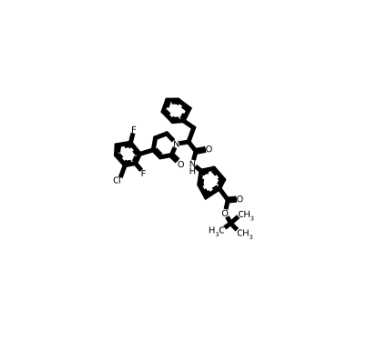 CC(C)(C)OC(=O)c1ccc(NC(=O)C(Cc2ccccc2)N2CCC(c3c(F)ccc(Cl)c3F)=CC2=O)cc1